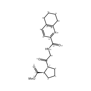 COC(=O)[C@@H]1CCCN1C(=O)CNC(=O)c1ccc2c(n1)CCCC2